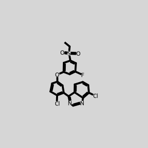 CCS(=O)(=O)c1cc(F)cc(Oc2ccc(Cl)c(-c3ncnc4c(Cl)cccc34)c2)c1